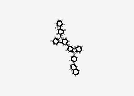 c1ccc2cc(-c3ccc(-n4c5ccccc5c5cc(-c6ccc7c(c6)c6ccccc6n7-c6ccc7c(c6)oc6ccccc67)ccc54)cc3)ccc2c1